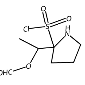 CC(OC=O)C1(S(=O)(=O)Cl)CCCN1